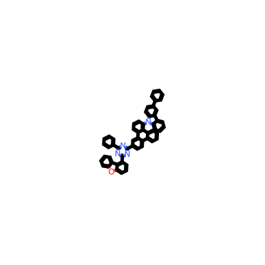 c1ccc(-c2ccc3c(c2)c2ccccc2n3-c2cccc3c4cc(-c5nc(-c6ccccc6)nc(-c6cccc7oc8ccccc8c67)n5)ccc4c4ccccc4c23)cc1